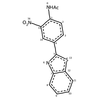 CC(=O)Nc1ccc(-c2nc3ccccc3s2)cc1[N+](=O)[O-]